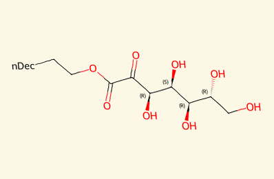 CCCCCCCCCCCCOC(=O)C(=O)[C@H](O)[C@@H](O)[C@H](O)[C@H](O)CO